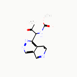 COC(=O)C(NC(=O)OC(C)(C)C)c1nncc2cnccc12